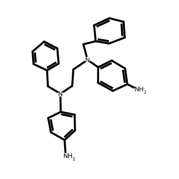 Nc1ccc(N(CCN(Cc2ccccc2)c2ccc(N)cc2)Cc2ccccc2)cc1